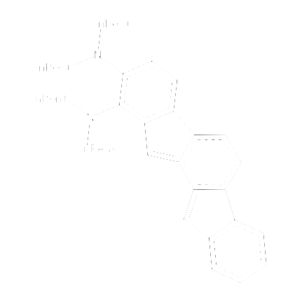 CCCCCN(CCCCC)c1ccc2c(c1N(CCCCC)CCCCC)C=c1c-2ccc2c1=Cc1ccccc1-2